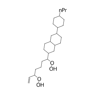 C=CC(CCCC(OO)C1CCC2CC(C3CCC(CCC)CC3)CCC2C1)OO